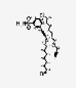 C#CCOCCCCCCCBr.NS(=O)(=O)c1cccc(C#CCOCCCCCCCBr)c1